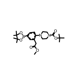 COC(=O)Cc1cc(B2OC(C)(C)C(C)(C)O2)ccc1N1CCN(C(=O)OC(C)(C)C)CC1